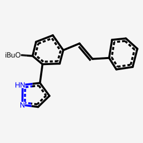 CC(C)COc1ccc(/C=C/c2ccccc2)cc1-c1ccn[nH]1